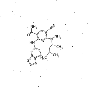 CC(C)C[C@@H](C)N(N)c1nc(Nc2ccc3ncsc3c2)c(C(N)=O)cc1C#N